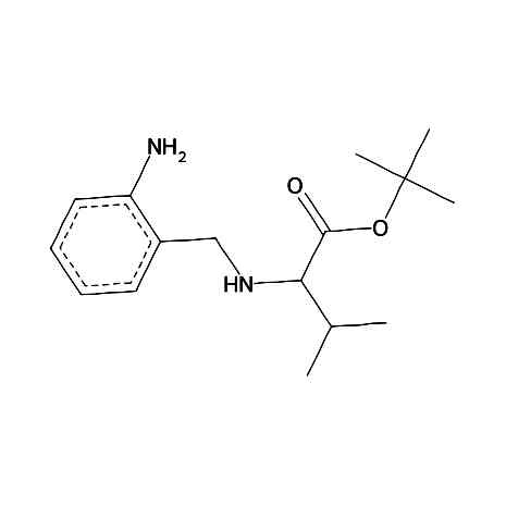 CC(C)C(NCc1ccccc1N)C(=O)OC(C)(C)C